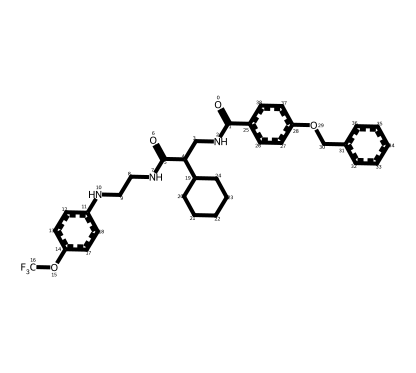 O=C(NCC(C(=O)NCCNc1ccc(OC(F)(F)F)cc1)C1CCCCC1)c1ccc(OCc2ccccc2)cc1